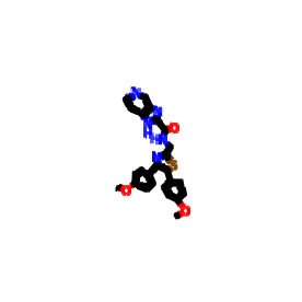 COc1ccc(-c2nc(CNC(=O)c3nc4cnccc4[nH]3)sc2-c2ccc(OC)cc2)cc1